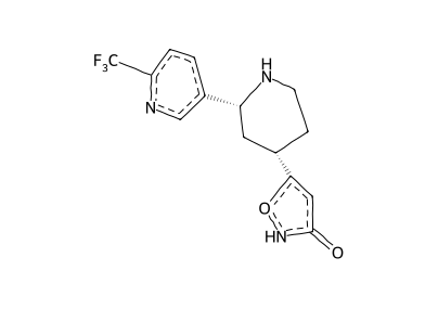 O=c1cc([C@H]2CCN[C@@H](c3ccc(C(F)(F)F)nc3)C2)o[nH]1